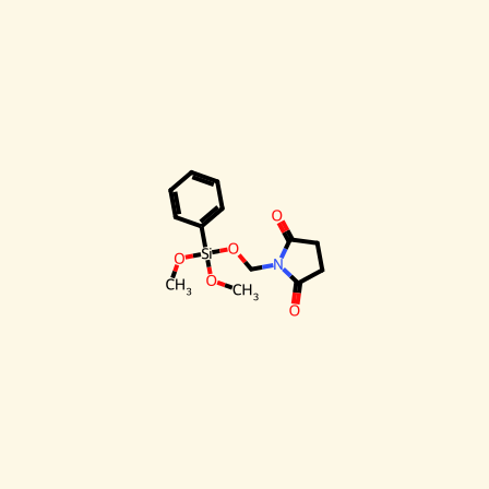 CO[Si](OC)(OCN1C(=O)CCC1=O)c1ccccc1